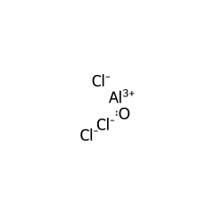 [Al+3].[Cl-].[Cl-].[Cl-].[O]